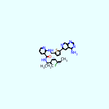 C=C(/C=C\C(F)=C/C)[C@H](C)NC(=O)c1cccnc1NCc1ccc(-c2cc3c(N)ncnc3cn2)s1